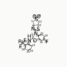 O=C(CN(C1=NC2CS(=O)(=O)CC2S1)c1ccc(F)cc1)Nc1ccccc1C(F)(F)F